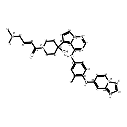 Cc1cc(Nc2ncnn3ccc(C4(O)CCN(C(=O)/C=C/CN(C)C)CC4)c23)ccc1Oc1ccn2ncnc2c1